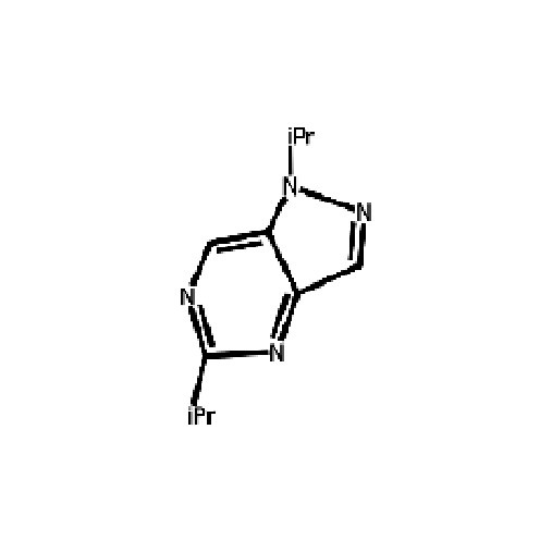 CC(C)c1ncc2c(cnn2C(C)C)n1